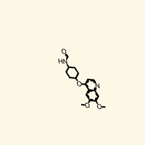 COc1cc2nccc(OC3CCC(NC=O)CC3)c2cc1OC